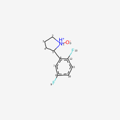 [O-][NH+]1CCCC1c1cc(F)ccc1F